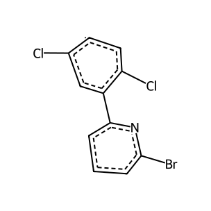 Clc1[c]cc(Cl)c(-c2cccc(Br)n2)c1